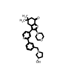 CC1(C)CC(=O)c2sc(N3CCOCC3)c(-c3ccnc(-c4cccc(CN5CC[C@H](O)C5)c4)c3)c2C1